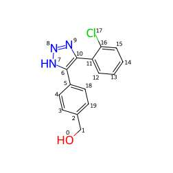 OCc1ccc(-c2[nH]nnc2-c2ccccc2Cl)cc1